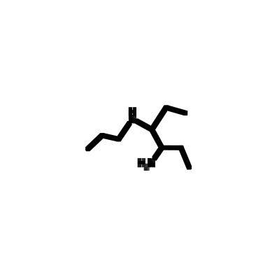 CCCNC(CC)C(N)CC